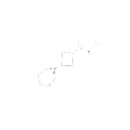 NC(=O)N(O)[C@H]1C[C@@H](c2ccc(C(F)(F)F)cc2)C1